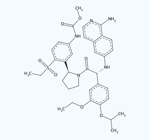 CCOc1cc([C@@H](Nc2ccc3c(N)nccc3c2)C(=O)N2CCC[C@H]2c2cc(NC(=O)OC)ccc2S(=O)(=O)CC)ccc1OC(C)C